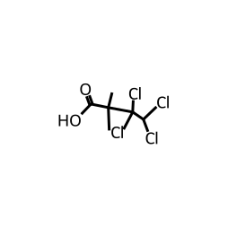 CC(C)(C(=O)O)C(Cl)(Cl)C(Cl)Cl